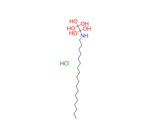 CCCCCCCCCCCCCCCCCCNC(O)(O)C(O)(O)O.Cl